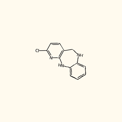 Clc1ccc2c(n1)Nc1ccccc1NC2